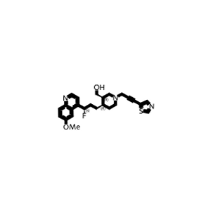 COc1ccc2nccc([C@@H](F)CC[C@@H]3CCN(CC#Cc4cncs4)C[C@@H]3CO)c2c1